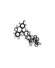 Cc1ccc2c(c1)COc1ccccc1C2=C1CCN(CC2(C(=O)NS(C)(=O)=O)C(C)C2C)CC1